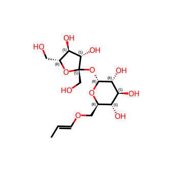 CC=COC[C@H]1O[C@H](O[C@]2(CO)O[C@H](CO)[C@@H](O)[C@@H]2O)[C@H](O)[C@@H](O)[C@@H]1O